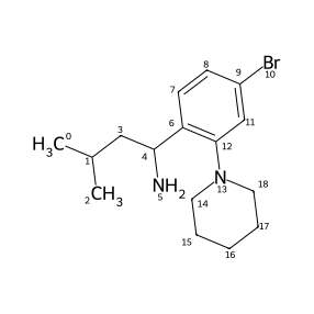 CC(C)CC(N)c1ccc(Br)cc1N1CCCCC1